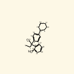 CCC(Cl)(c1ccc(C2CCCCC2)cc1)c1ccccc1O